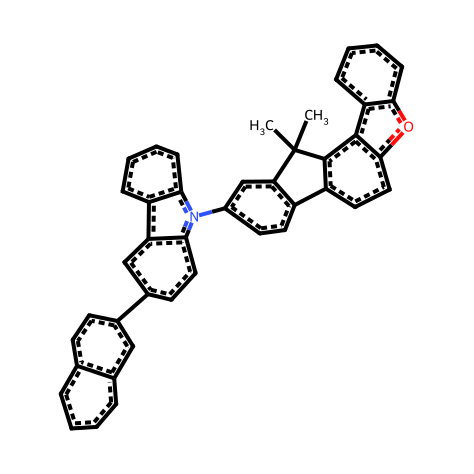 CC1(C)c2cc(-n3c4ccccc4c4cc(-c5ccc6ccccc6c5)ccc43)ccc2-c2ccc3oc4ccccc4c3c21